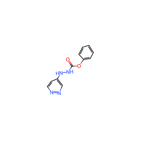 O=C(NNc1ccnnc1)Oc1ccccc1